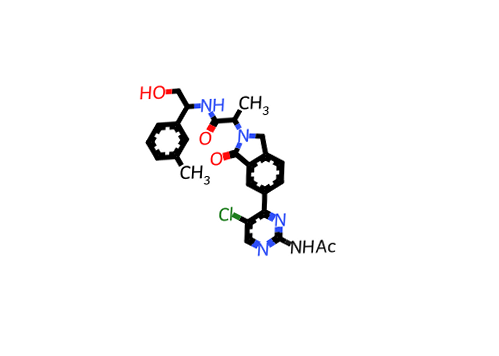 CC(=O)Nc1ncc(Cl)c(-c2ccc3c(c2)C(=O)N(C(C)C(=O)NC(CO)c2cccc(C)c2)C3)n1